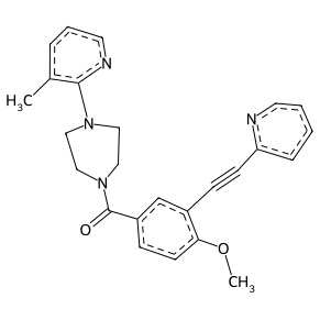 COc1ccc(C(=O)N2CCN(c3ncccc3C)CC2)cc1C#Cc1ccccn1